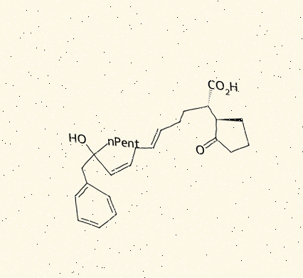 CCCCCC(O)(/C=C\C/C=C/CC[C@H](C(=O)O)[C@H]1CCCC1=O)Cc1ccccc1